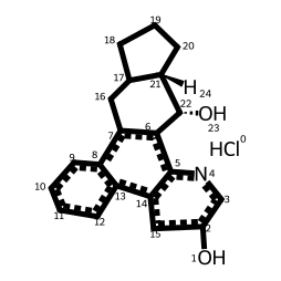 Cl.Oc1cnc2c3c(c4ccccc4c2c1)CC1CCC[C@@H]1[C@@H]3O